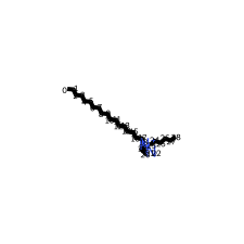 CCCCCCCCCCCCCCCCCC[n+]1ccn(C)c1CCCCC